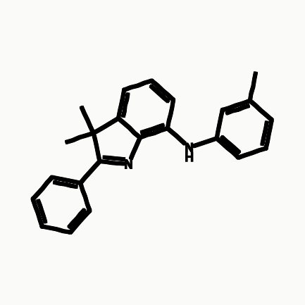 Cc1cccc(Nc2cccc3c2N=C(c2ccccc2)C3(C)C)c1